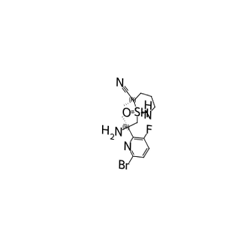 C[C@](N)(C[SH]1(=O)NCCC[C@]1(C)C#N)c1nc(Br)ccc1F